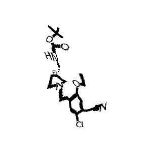 CCOc1cc(C#N)c(Cl)cc1CN1CC[C@H](CNC(=O)OC(C)(C)C)C1